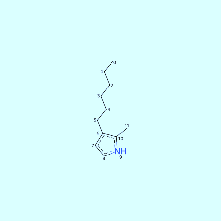 CCCCCCc1cc[nH]c1C